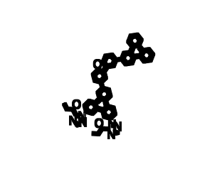 CCC(=O)c1ncnn1-c1ccc2c3ccc(-c4ccc5oc6ccc(-c7ccc8c9ccccc9c9ccccc9c8c7)cc6c5c4)cc3c3ccc(-n4ncnc4C(=O)CC)cc3c2c1